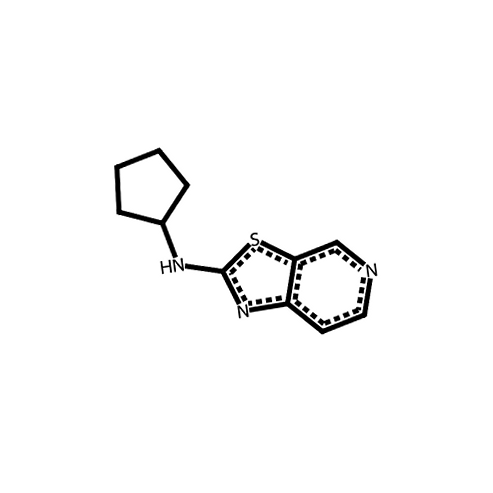 c1cc2nc(NC3CCCC3)sc2cn1